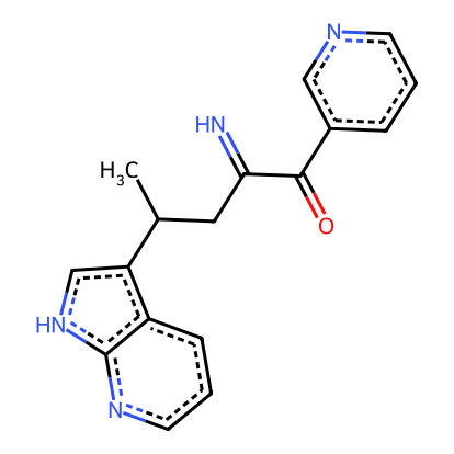 CC(CC(=N)C(=O)c1cccnc1)c1c[nH]c2ncccc12